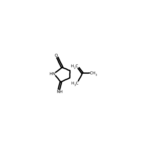 C=C(C)C.N=C1CCC(=O)N1